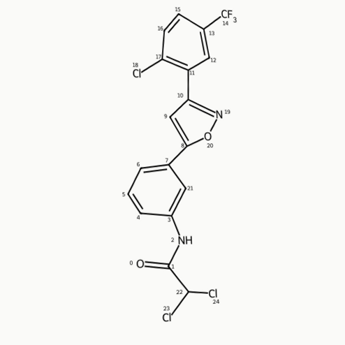 O=C(Nc1cccc(-c2cc(-c3cc(C(F)(F)F)ccc3Cl)no2)c1)C(Cl)Cl